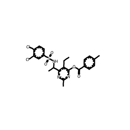 CCc1c(OC(=O)c2ccc(C)cc2)nc(C)nc1C(C)NS(=O)(=O)c1ccc(Cl)c(Cl)c1